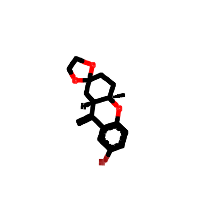 C=C1c2cc(Br)ccc2O[C@]2(C)CCC3(C[C@@H]12)OCCO3